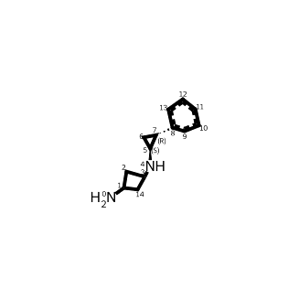 NC1CC(N[C@H]2C[C@@H]2c2ccccc2)C1